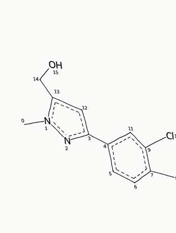 Cn1nc(-c2ccc(Cl)c(Cl)c2)cc1CO